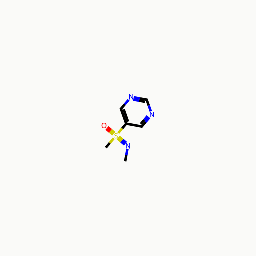 CN=S(C)(=O)c1cncnc1